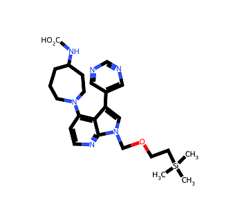 C[Si](C)(C)CCOCn1cc(-c2cncnc2)c2c(N3CCCC(NC(=O)O)CC3)ccnc21